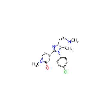 C=N/C=C\c1nc(-c2ccn(C)c(=O)c2)n(-c2ccc(Cl)cc2)c1C